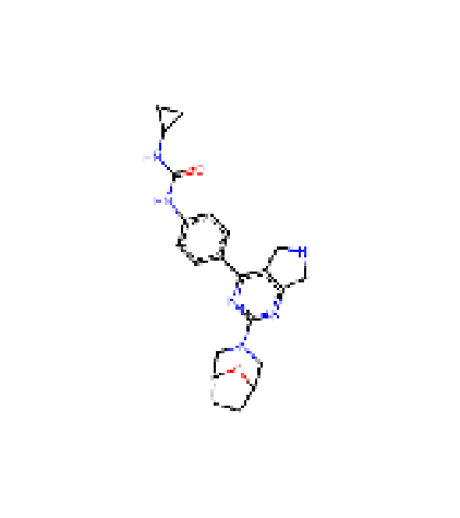 O=C(Nc1ccc(-c2nc(N3CC4CCC(C3)O4)nc3c2CNC3)cc1)NC1CC1